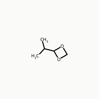 CC(C)C1OCO1